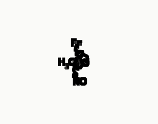 C[C@H]1C[C@@]2(CCN1CC1CC(N=O)C1)OCCc1cc(CC(F)F)sc12